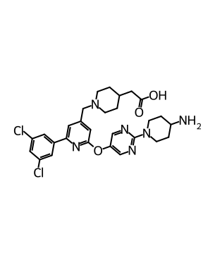 NC1CCN(c2ncc(Oc3cc(CN4CCC(CC(=O)O)CC4)cc(-c4cc(Cl)cc(Cl)c4)n3)cn2)CC1